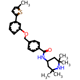 Cc1ccc(-c2cccc(OCc3ccc(C(=O)NC4CC(C)(C)NC(C)(C)C4)cc3)c2)s1